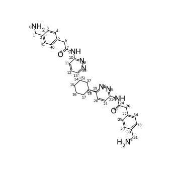 NCc1ccc(CC(=O)Nc2ccc([C@H]3CCC[C@H](c4ccc(NC(=O)Cc5ccc(CN)cc5)nn4)C3)nn2)cc1